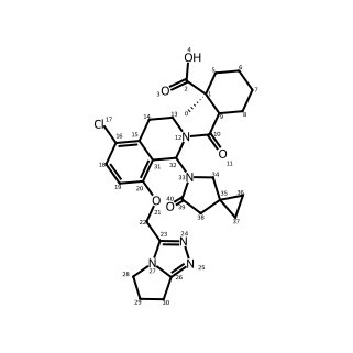 C[C@]1(C(=O)O)CCCCC1C(=O)N1CCc2c(Cl)ccc(OCc3nnc4n3CCC4)c2C1N1CC2(CC2)CC1=O